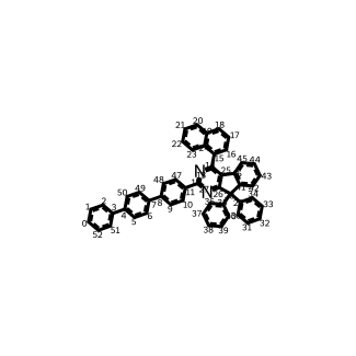 c1ccc(-c2ccc(-c3ccc(-c4nc(-c5cccc6ccccc56)c5c(n4)C(c4ccccc4)(c4ccccc4)c4ccccc4-5)cc3)cc2)cc1